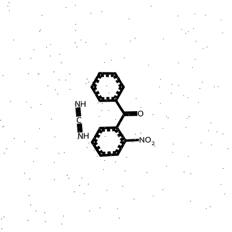 N=C=N.O=C(c1ccccc1)c1ccccc1[N+](=O)[O-]